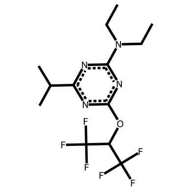 CCN(CC)c1nc(OC(C(F)(F)F)C(F)(F)F)nc(C(C)C)n1